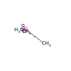 CCCCCCCCC=CCCCCCCCC(=O)OC(c1ccccc1)N(C)C